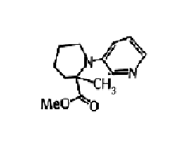 COC(=O)C1(C)CCCCN1c1[c]nccc1